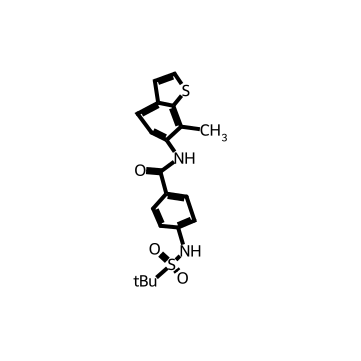 Cc1c(NC(=O)c2ccc(NS(=O)(=O)C(C)(C)C)cc2)ccc2ccsc12